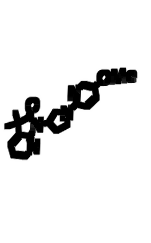 COc1ccc(N2CCC(N3C(=O)C(C)(C)c4cccnc43)C2)nc1